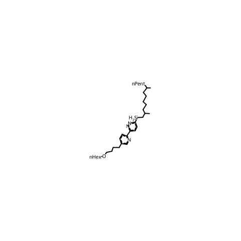 CCCCCCOCCCCc1ccc(-c2ccc([SiH2]CC(C)CCCCCC(C)CCCCC)nn2)nc1